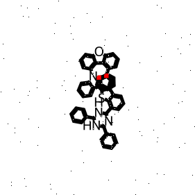 c1ccc(C2=NC(c3cccc4c3sc3ccc(-c5cccc6oc7cccc(-n8c9ccccc9c9ccccc98)c7c56)cc34)NC(c3ccccc3)N2)cc1